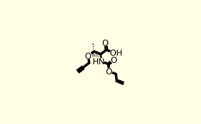 C#CCO[C@H](C)[C@H](NC(=O)OCC=C)C(=O)O